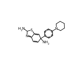 NC1N=C2C=CC(N)(c3ccc(N4CCCCC4)cc3)C=C2S1